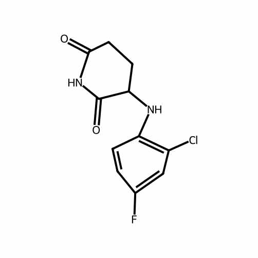 O=C1CCC(Nc2ccc(F)cc2Cl)C(=O)N1